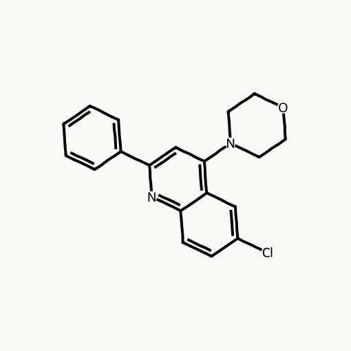 Clc1ccc2nc(-c3ccccc3)cc(N3CCOCC3)c2c1